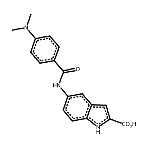 CN(C)c1ccc(C(=O)Nc2ccc3[nH]c(C(=O)O)cc3c2)cc1